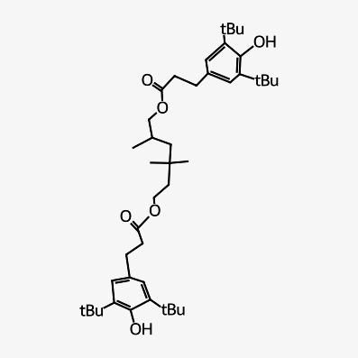 CC(COC(=O)CCc1cc(C(C)(C)C)c(O)c(C(C)(C)C)c1)CC(C)(C)CCOC(=O)CCc1cc(C(C)(C)C)c(O)c(C(C)(C)C)c1